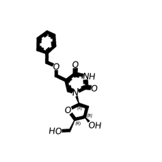 O=c1[nH]c(=O)n([C@H]2C[C@@H](O)[C@@H](CO)O2)cc1COCc1ccccc1